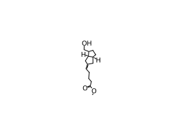 COC(=O)CCC/C=C1\C[C@H]2CCC(CO)[C@H]2C1